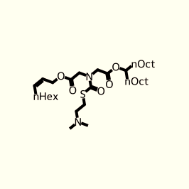 CCCCCC/C=C\COC(=O)CN(CC(=O)OC(CCCCCCCC)CCCCCCCC)C(=O)SCCN(C)C